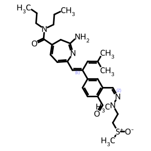 CCCN(CCC)C(=O)C1=CC=C(/C=C(\C=C(C)C)c2ccc(C=O)c(/C=N\N(C)CC[S+](C)[O-])c2)N=C(N)C1